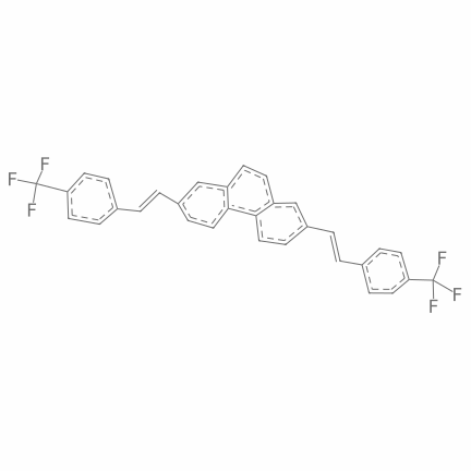 FC(F)(F)c1ccc(/C=C/c2ccc3c(ccc4cc(/C=C/c5ccc(C(F)(F)F)cc5)ccc43)c2)cc1